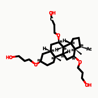 CC(=O)[C@H]1CC[C@H]2[C@@H]3[C@H](OCCCO)C[C@@H]4C[C@H](OCCCO)CC[C@]4(C)[C@H]3C[C@H](OCCCO)[C@]12C